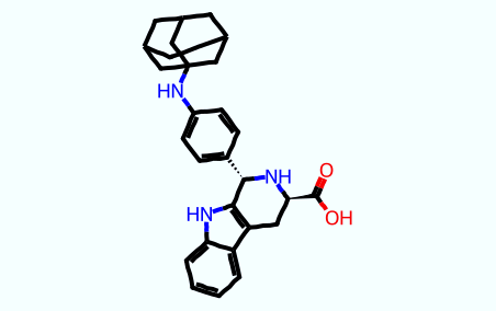 O=C(O)[C@H]1Cc2c([nH]c3ccccc23)[C@H](c2ccc(NC34CC5CC(CC(C5)C3)C4)cc2)N1